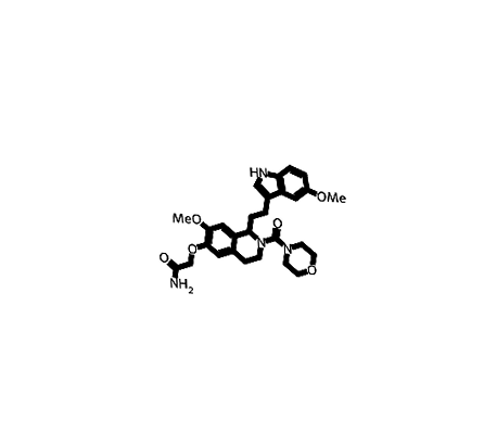 COc1ccc2[nH]cc(CCC3c4cc(OC)c(OCC(N)=O)cc4CCN3C(=O)N3CCOCC3)c2c1